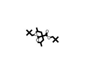 CC(C)CC(CC(C)C)(C(=O)OCC(C)(C)C)C(=O)OCC(C)(C)C